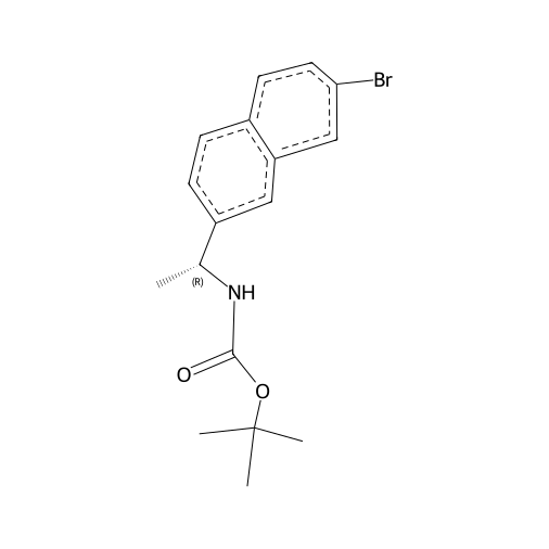 C[C@@H](NC(=O)OC(C)(C)C)c1ccc2ccc(Br)cc2c1